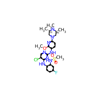 COc1nc(N2C[C@@H](C)N(C)[C@@H](C)C2)ccc1Nc1ncc(Cl)c(Nc2ccc(F)cc2NS(C)(=O)=O)n1